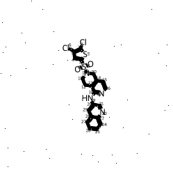 O=S(=O)(c1cc(Cl)c(Cl)s1)N1CCc2c(ccnc2Nc2cnc3ccccc3c2)C1